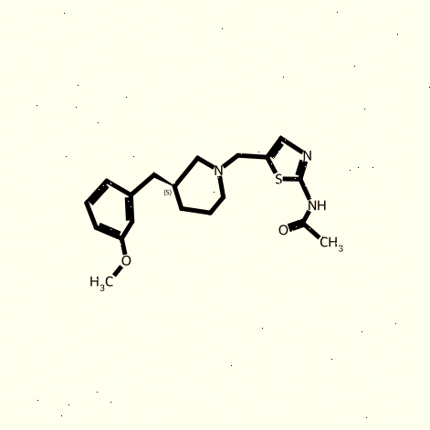 COc1cccc(C[C@@H]2CCCN(Cc3cnc(NC(C)=O)s3)C2)c1